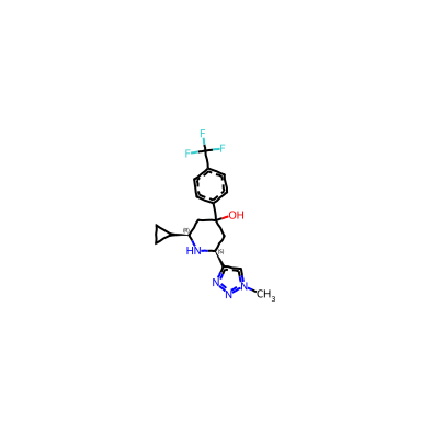 Cn1cc([C@@H]2CC(O)(c3ccc(C(F)(F)F)cc3)C[C@H](C3CC3)N2)nn1